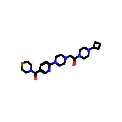 O=C(CN1CCN(c2ccc(C(=O)N3CCSCC3)cn2)CC1)N1CCN(C2CCC2)CC1